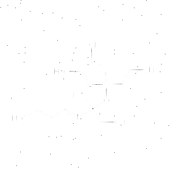 CCCC=NC(C)(CC)O[Si](CCC)(OCC)OCC